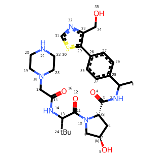 CC(NC(=O)[C@@H]1C[C@@H](O)CN1C(=O)C(NC(=O)CN1CCNCC1)C(C)(C)C)c1ccc(-c2scnc2CO)cc1